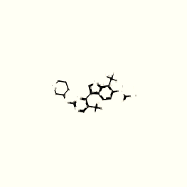 CN(C(=O)O)c1ccc2c(-c3nc(NC4CCCNC4)ncc3C(F)(F)F)c[nH]c2c1C(F)(F)F